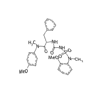 COc1ccc(N(C)C(=O)C(Cc2ccccc2)NC(=O)NS(=O)(=O)N(C)c2ccccc2OC)cc1